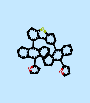 c1coc(-c2c3ccccc3c(-c3ccc4sc5cccc(-c6c7ccccc7c(-c7ccco7)c7ccccc67)c5c4c3)c3ccccc23)c1